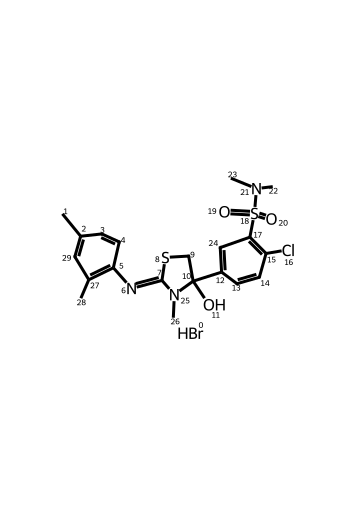 Br.Cc1ccc(N=C2SCC(O)(c3ccc(Cl)c(S(=O)(=O)N(C)C)c3)N2C)c(C)c1